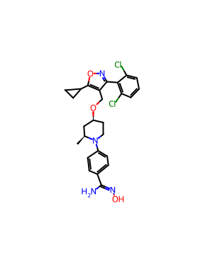 C[C@H]1C[C@@H](OCc2c(-c3c(Cl)cccc3Cl)noc2C2CC2)CCN1c1ccc(/C(N)=N/O)cc1